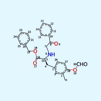 Cc1cc(C[C@H](NCC(=O)c2ccccc2)C(=O)OCc2ccccc2)ccc1OC=O